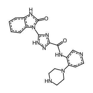 O=C(Nc1cnccc1N1CCNCC1)c1n[nH]c(-n2c(=O)[nH]c3ccccc32)n1